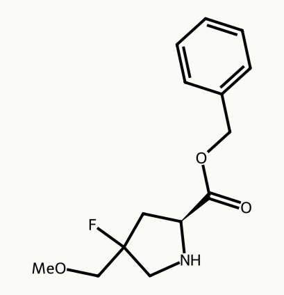 COCC1(F)CN[C@H](C(=O)OCc2ccccc2)C1